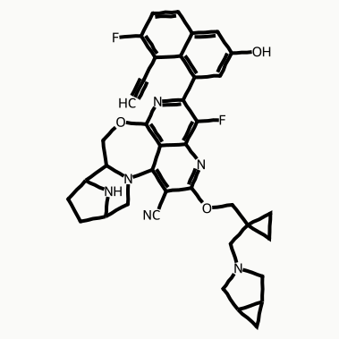 C#Cc1c(F)ccc2cc(O)cc(-c3nc4c5c(c(C#N)c(OCC6(CN7CC8CC8C7)CC6)nc5c3F)N3CC5CCC(N5)C3CO4)c12